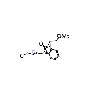 COCCn1c(=O)n(C/C=C/CCl)c2ccccc21